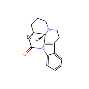 CC[C@]12CCCN3CCc4c(n(c5ccccc45)C(=O)C1)[C@@H]32